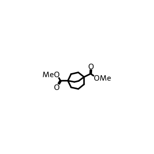 COC(=O)C12CCCC(C(=O)OC)(CC1)CC2